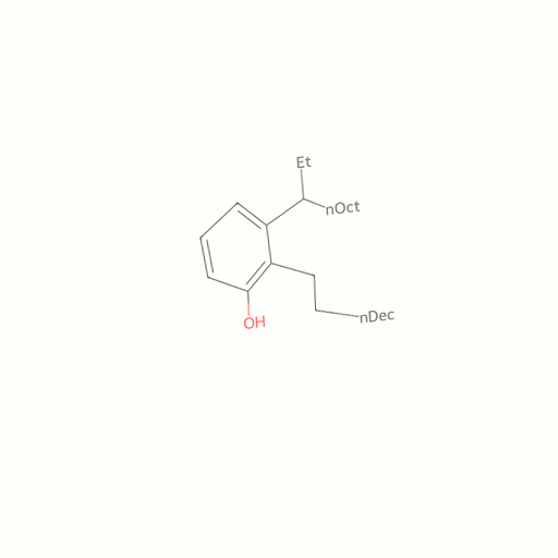 CCCCCCCCCCCCc1c(O)cccc1C(CC)CCCCCCCC